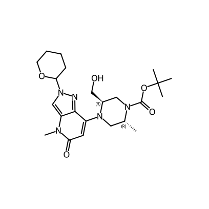 C[C@@H]1CN(c2cc(=O)n(C)c3cn(C4CCCCO4)nc23)[C@@H](CO)CN1C(=O)OC(C)(C)C